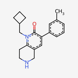 Cc1cccc(-c2cc3c(n(CC4CCC4)c2=O)CCNC3)c1